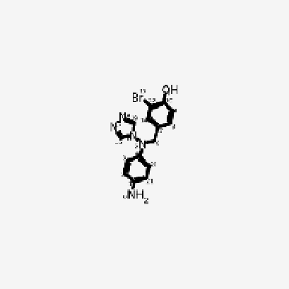 Nc1ccc(N(Cc2ccc(O)c(Br)c2)n2cnnc2)cc1